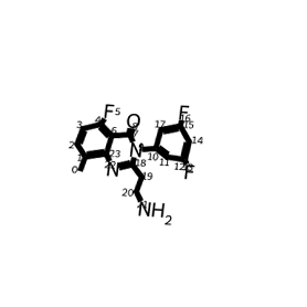 Cc1ccc(F)c2c(=O)n(-c3cc(F)cc(F)c3)c(CCN)nc12